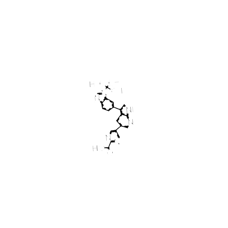 CC(C)(C)n1cnc2ccc(-c3c[nH]c4ncc(-c5cnc(C(=O)O)nc5)cc34)cc21